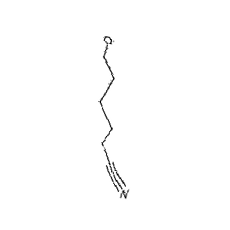 N#CCCCCC[O]